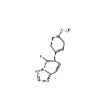 O=C(O)N1CC=C(c2ccc3cnnn3c2F)CC1